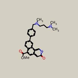 COC(=O)c1cc2c(c3cc(-c4ccc(CN(C)CCCN(C)C)cc4)ccc13)=C[N]C(=O)C=2